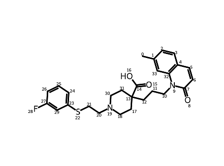 Cc1ccc2ccc(=O)n(CCCC3(C(=O)O)CCN(CCSc4cccc(F)c4)CC3)c2c1